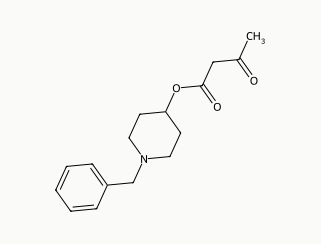 CC(=O)CC(=O)OC1CCN(Cc2ccccc2)CC1